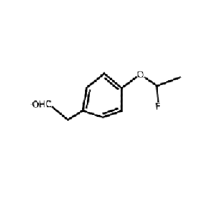 CC(F)Oc1ccc(C[C]=O)cc1